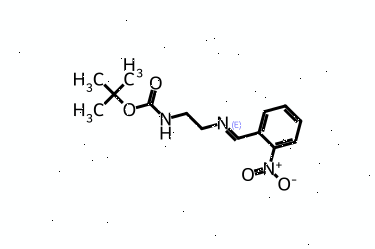 CC(C)(C)OC(=O)NCC/N=C/c1ccccc1[N+](=O)[O-]